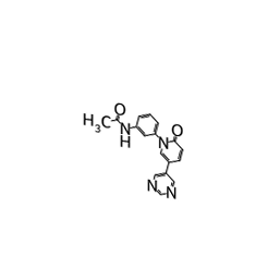 CC(=O)Nc1cccc(-n2cc(-c3cncnc3)ccc2=O)c1